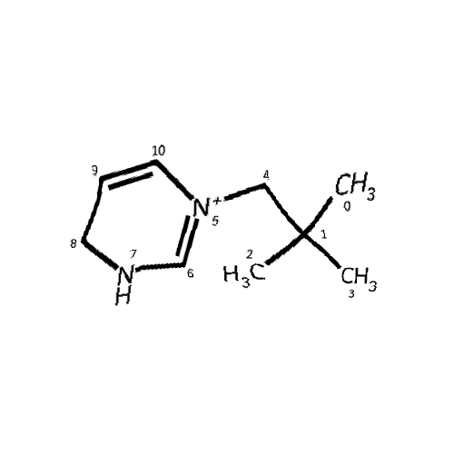 CC(C)(C)C[N+]1=CNCC=C1